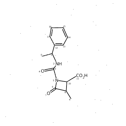 CC(NC(=O)N1C(=O)C(C)C1C(=O)O)c1ccccc1